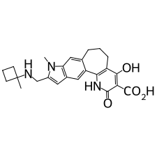 Cn1c(CNC2(C)CCC2)cc2cc3c(cc21)CCCc1c-3[nH]c(=O)c(C(=O)O)c1O